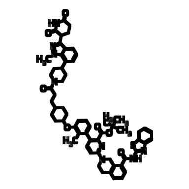 Cc1c(OC2CCC(CCC(=O)N3CCC(c4cccc5c(C6CCC(=O)NC6=O)nn(C)c45)CC3)CC2)cccc1-c1ccc(N2CCc3cccc(C(=O)Nc4nc5ccccc5s4)c3C2)nc1C(=O)OC(C)(C)C